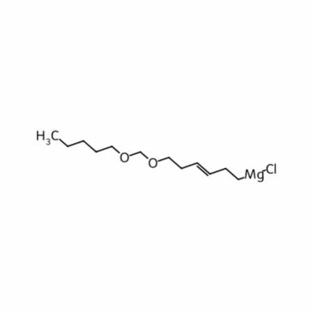 CCCCCOCOCC/C=C/C[CH2][Mg][Cl]